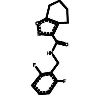 O=C(NCc1c(F)cccc1F)c1noc2c1CCCC2